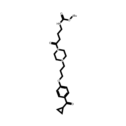 CC(C)(C)OC(=O)NCCCC(=O)N1CCN(CCCOc2ccc(C(=O)C3CC3)cc2)CC1